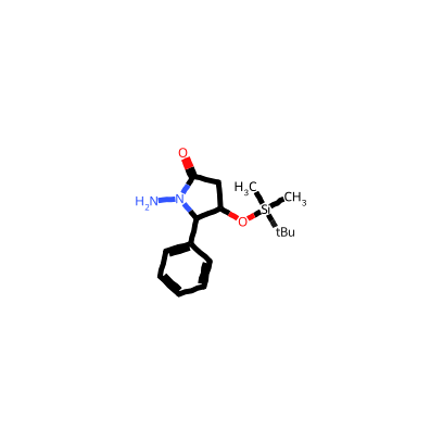 CC(C)(C)[Si](C)(C)OC1CC(=O)N(N)C1c1ccccc1